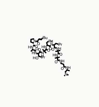 CCC(C)/C=C/C(=O)N1CCC[C@H]1C(=O)NC(C)C(=O)NC(C(=O)NC(C)(C)C(=O)NC(CC(C)C)C(=O)NC(CC(C)C)C(=O)NC(C)(C)C(=O)NC(C)(C)C(=O)NCCC(=O)NC(C)CN(C)C)C(O)C(C)C